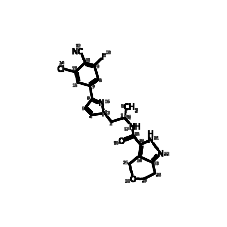 C[C@@H](Cn1ccc(-c2cc(F)c(C#N)c(Cl)c2)n1)NC(=O)c1[nH]nc2c1COCC2